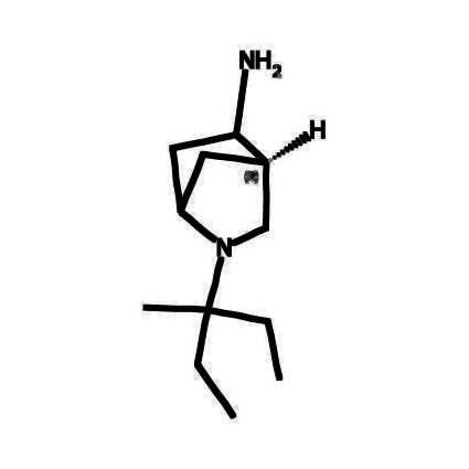 CCC(C)(CC)N1C[C@H]2CC1CC2N